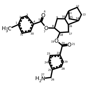 Cc1ccc(C(=O)OC2CC3C4CCC(C4)C3CC2OC(=O)c2ccc(CN)cc2)cc1